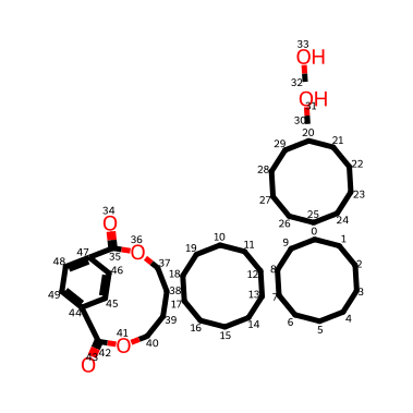 C1CCCCCCCCC1.C1CCCCCCCCC1.C1CCCCCCCCC1.CO.CO.O=C1OCCCCOC(=O)c2ccc1cc2